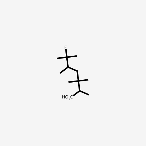 CC(CC(C)(C)C(C)C(=O)O)C(C)(C)F